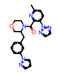 Cc1ccc(-n2nccn2)c(C(=O)N2CCOCC2Cc2cccc(-n3cccn3)c2)n1